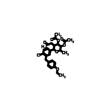 CCOc1ccc(Cc2cc(C3OC(C)C(OC(C)=O)C(OC(C)=O)C3CC(C)=O)ccc2Cl)cc1